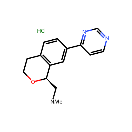 CNC[C@H]1OCCc2ccc(-c3ccncn3)cc21.Cl